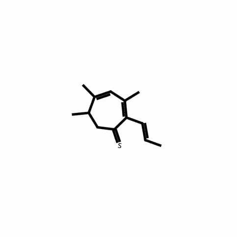 C/C=C/C1=C(C)C=C(C)C(C)CC1=S